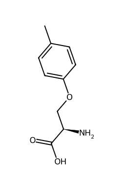 Cc1ccc(OC[C@@H](N)C(=O)O)cc1